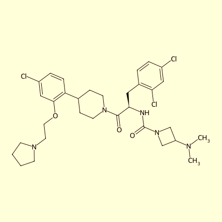 CN(C)C1CN(C(=O)N[C@H](Cc2ccc(Cl)cc2Cl)C(=O)N2CCC(c3ccc(Cl)cc3OCCN3CCCC3)CC2)C1